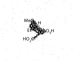 CCN1/C(=C/C=C/C2=[N+](CCCCCC(=O)O)c3ccc(S(=O)(=O)O)cc3C2(C)CCOCCOCCOC)C(C)(C)c2cc(S(=O)(=O)O)ccc21